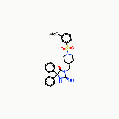 COc1cccc(S(=O)(=O)N2CCC(CN3C(=N)NC(c4ccccc4)(c4ccccc4)C3=O)CC2)c1